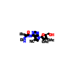 CCNC(C(=O)Nc1ncnc2c1c(C#N)cn2[C@@H]1O[C@H](CO)C(OC(C)=O)[C@@H]1OC(C)=O)C(C)CC